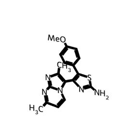 COc1ccc(-c2sc(N)nc2-c2c(C)nc3nc(C)ccn23)cc1